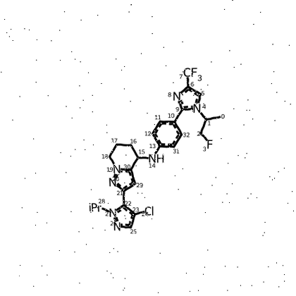 CC(CF)n1cc(C(F)(F)F)nc1-c1ccc(NC2CCCn3nc(-c4c(Cl)cnn4C(C)C)cc32)cc1